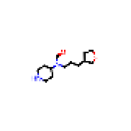 O=[C]N(CCCC1CCOC1)C1CCNCC1